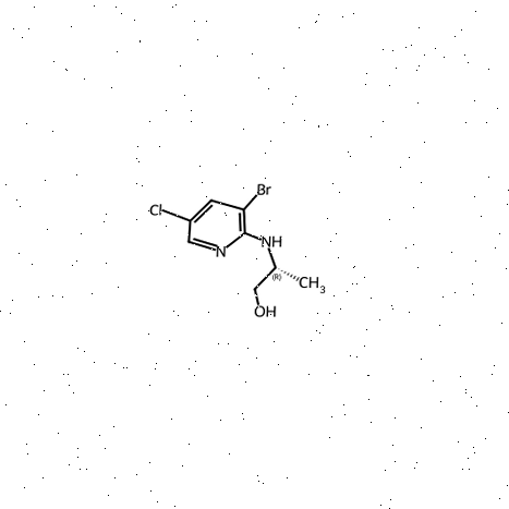 C[C@H](CO)Nc1ncc(Cl)cc1Br